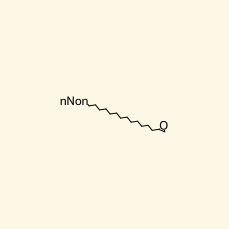 CCCCCCCCCCCCCCCCCCCCCCC1CO1